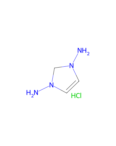 Cl.NN1C=CN(N)C1